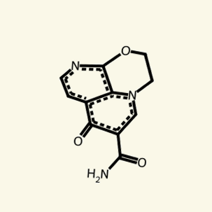 NC(=O)c1cn2c3c(nccc3c1=O)OCC2